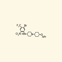 CCCO[C@H]1CC[C@@H](N2CCC(Nc3cc(Br)c(C(F)(F)F)cc3[N+](=O)[O-])CC2)CC1